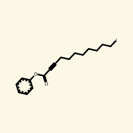 O=C(C#CCCCCCCCCI)Oc1ccccc1